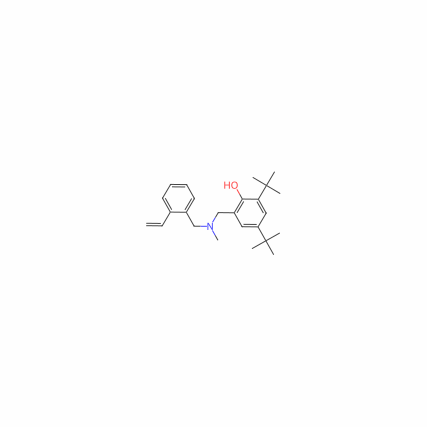 C=Cc1ccccc1CN(C)Cc1cc(C(C)(C)C)cc(C(C)(C)C)c1O